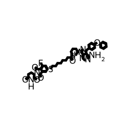 Nc1ncnc2c1c(-c1ccc(Oc3ccccc3)cc1)nn2[C@@H]1CCCN(C(=O)CCCCCCCSc2cc(F)c3c(c2)C(=O)N(C2CCC(=O)NC2=O)C3=O)C1